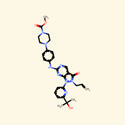 C=CCn1c(=O)c2cnc(Nc3ccc(N4CCN(C(=O)OC)CC4)cc3)nc2n1-c1cccc(C(C)(C)O)n1